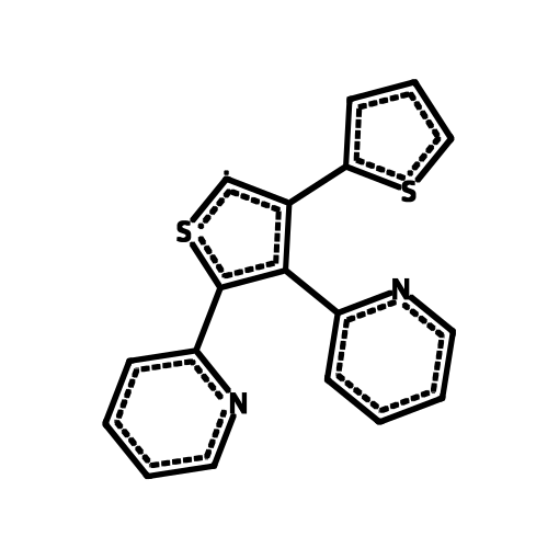 [c]1sc(-c2ccccn2)c(-c2ccccn2)c1-c1cccs1